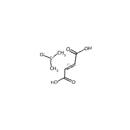 C[S+](C)[O-].O=C(O)/C=C/C(=O)O